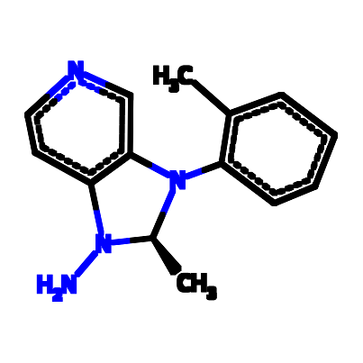 Cc1ccccc1N1c2cnccc2N(N)[C@@H]1C